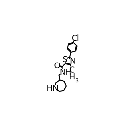 Cc1nc(-c2ccc(Cl)cc2)sc1C(=O)NCC1CCCCNC1